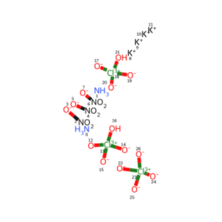 N.N.O=[N+]([O-])[O-].O=[N+]([O-])[O-].O=[N+]([O-])[O-].[K+].[K+].[K+].[K+].[O-][Cl+3]([O-])([O-])O.[O-][Cl+3]([O-])([O-])O.[O-][Cl+3]([O-])([O-])[O-]